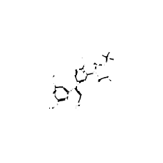 CCC(=O)N(C(=O)OC(C)(C)C)c1cc(/C(=C/C#N)c2cc(OC)cc(OC)c2)ccc1OC